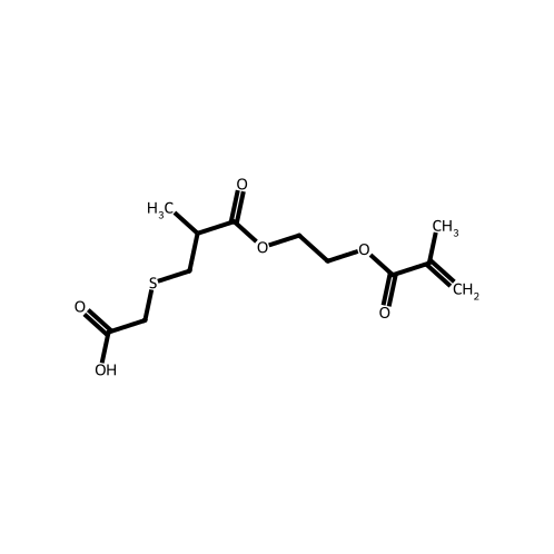 C=C(C)C(=O)OCCOC(=O)C(C)CSCC(=O)O